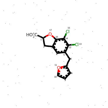 O=C(O)C1Cc2cc(Cc3ccco3)c(Cl)c(Cl)c2O1